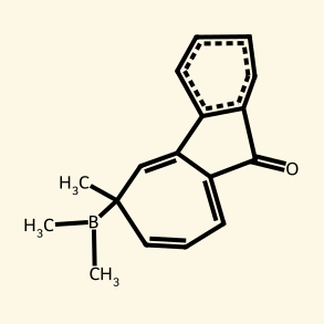 CB(C)C1(C)C=CC=C2C(=O)c3ccccc3C2=C1